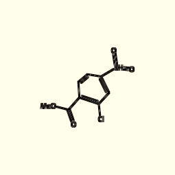 COC(=O)c1ccc([SH](=O)=O)cc1Cl